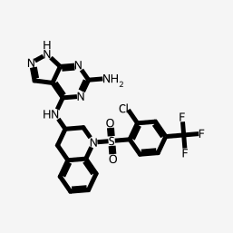 Nc1nc(NC2Cc3ccccc3N(S(=O)(=O)c3ccc(C(F)(F)F)cc3Cl)C2)c2cn[nH]c2n1